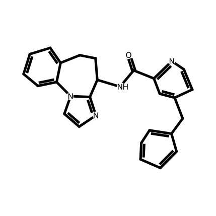 O=C(NC1CCc2ccccc2-n2ccnc21)c1cc(Cc2ccccc2)ccn1